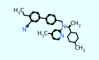 C=C(C1CCC(C)CC1)N(Cc1ccc(-c2ccc(CC)c(C#N)c2)cc1)c1cc(C)ccn1